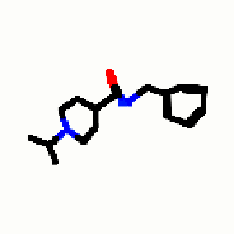 CC(C)N1CCC(C(=O)NCc2ccccc2)CC1